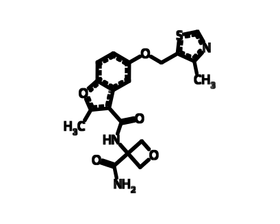 Cc1ncsc1COc1ccc2oc(C)c(C(=O)NC3(C(N)=O)COC3)c2c1